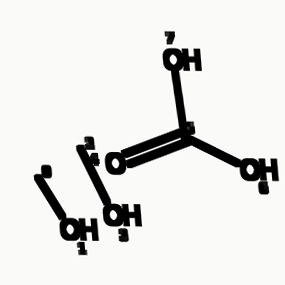 CO.CO.O=C(O)O